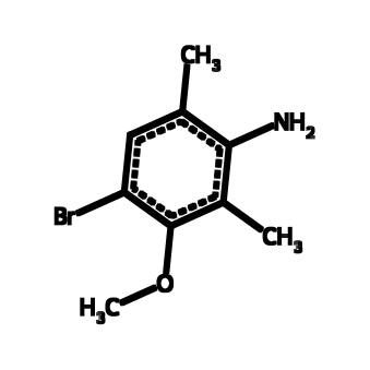 COc1c(Br)cc(C)c(N)c1C